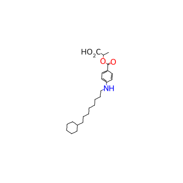 CC(OC(=O)c1ccc(NCCCCCCCCC2CCCCC2)cc1)C(=O)O